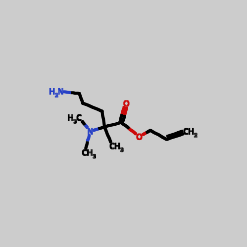 C=CCOC(=O)C(C)(CCCN)N(C)C